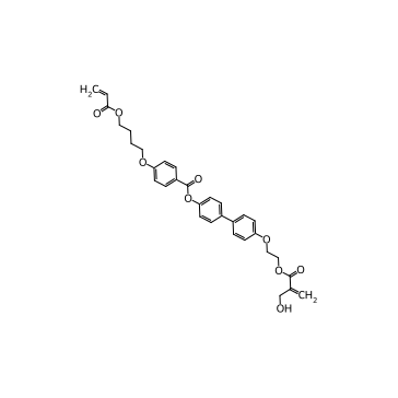 C=CC(=O)OCCCCOc1ccc(C(=O)Oc2ccc(-c3ccc(OCCOC(=O)C(=C)CO)cc3)cc2)cc1